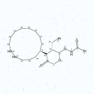 CC(=O)C(=O)NOC1OCC(=O)C([C@@H]2CCCCCCCCNNCCC2)[C@@H]1CC(C)C